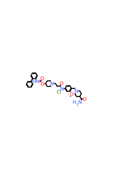 COc1cc(N(Cl)C(=O)CCN2CCC(OC(=O)Nc3ccccc3-c3ccccc3)CC2)ccc1CN1CCC(C(N)=O)CC1